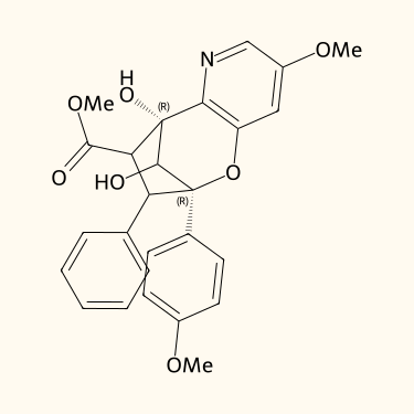 COC(=O)C1C(c2ccccc2)[C@]2(c3ccc(OC)cc3)Oc3cc(OC)cnc3[C@@]1(O)C2O